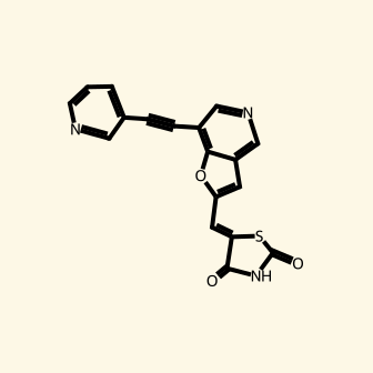 O=C1NC(=O)/C(=C/c2cc3cncc(C#Cc4cccnc4)c3o2)S1